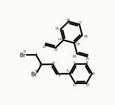 BrCC(Br)C=Cc1ccccc1.C=Cc1ccccc1C=C